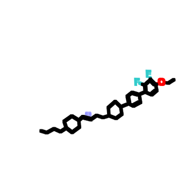 CCCCC1CCC(/C=C/CCC2CCC(c3ccc(-c4ccc(OCC)c(F)c4F)cc3)CC2)CC1